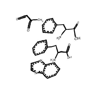 CC(=O)C=O.NC(Cc1ccccc1)C(=O)O.NC(Cc1ccccc1)C(=O)O.c1ccc2nccnc2c1